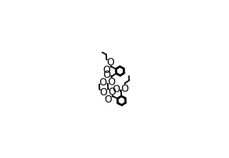 CCCOC(=O)c1ccccc1C(=O)OC1OCCOC1OC(=O)c1ccccc1C(=O)OCCC